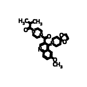 COc1ccc2ncc(C(=O)N3CCN(C(=O)C(C)C)CC3)c(N3CCC4(CC3)OCCO4)c2c1